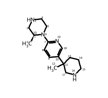 C[C@H]1CNCCN1c1ccc(C2(C)CCCNC2)cn1